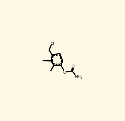 Cc1c(CCl)ccc(OC(N)=O)c1C